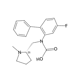 CN1CCC[C@H]1CN(C(=O)O)c1cc(F)ccc1-c1ccccc1